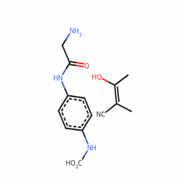 CC(O)=C(C)C#N.NCC(=O)Nc1ccc(NC(=O)O)cc1